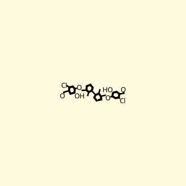 Cc1c(COc2cc(Cl)c(C=O)cc2O)cccc1-c1cccc(COc2cc(Cl)c(C=O)cc2O)c1C